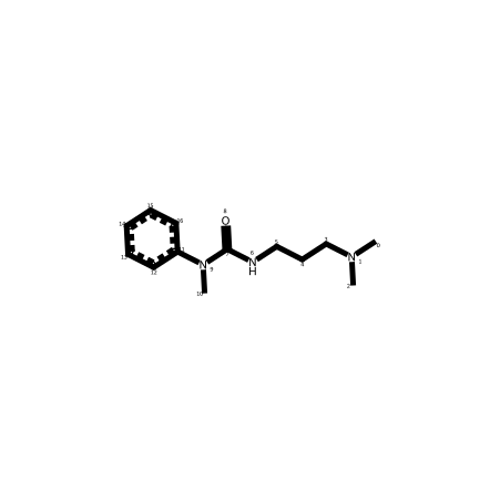 CN(C)CCCNC(=O)N(C)c1ccccc1